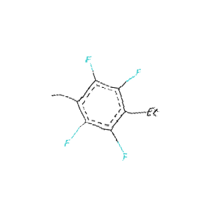 CCc1c(F)c(F)c(C)c(F)c1F